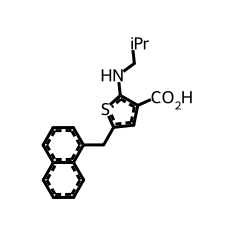 CC(C)CNc1sc(Cc2cccc3ccccc23)cc1C(=O)O